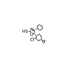 CN(C)c1ccc(-c2oc(S)nc2-c2ccccc2)c(Cl)c1